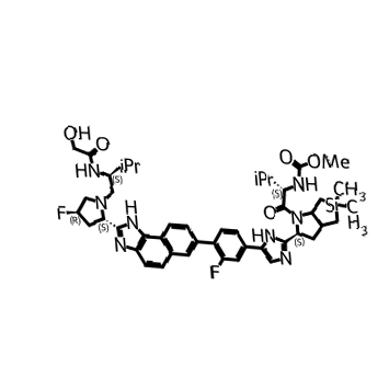 COC(=O)N[C@H](C(=O)N1C2C[Si](C)(C)CC2C[C@H]1c1ncc(-c2ccc(-c3ccc4c(ccc5nc([C@@H]6C[C@@H](F)CN6C[C@@H](NC(=O)CO)C(C)C)[nH]c54)c3)c(F)c2)[nH]1)C(C)C